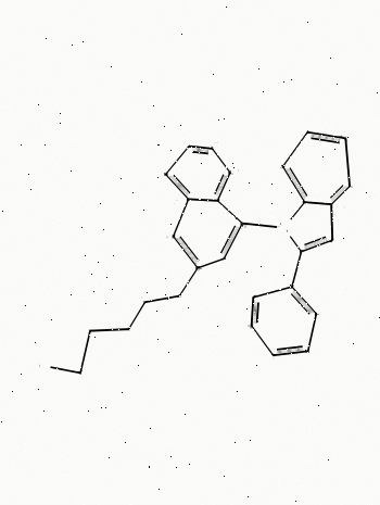 CCCCCCc1cc(-n2c(-c3ccccc3)cc3ccccc32)c2ccccc2c1